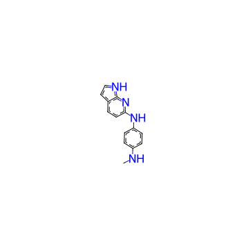 CNc1ccc(Nc2ccc3cc[nH]c3n2)cc1